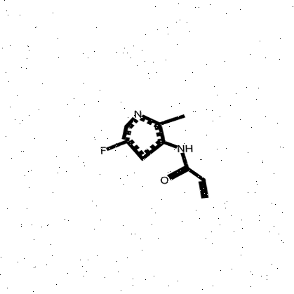 C=CC(=O)Nc1cc(F)cnc1C